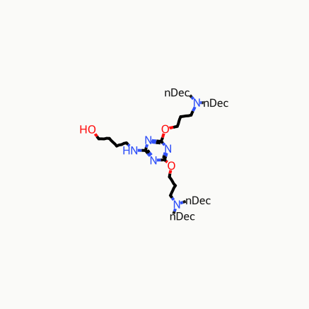 CCCCCCCCCCN(CCCCCCCCCC)CCCOc1nc(NCCCCO)nc(OCCCN(CCCCCCCCCC)CCCCCCCCCC)n1